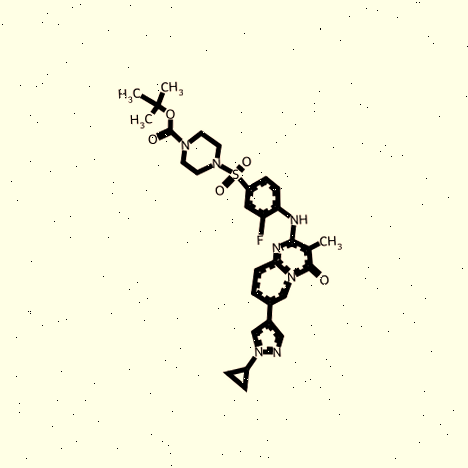 Cc1c(Nc2ccc(S(=O)(=O)N3CCN(C(=O)OC(C)(C)C)CC3)cc2F)nc2ccc(-c3cnn(C4CC4)c3)cn2c1=O